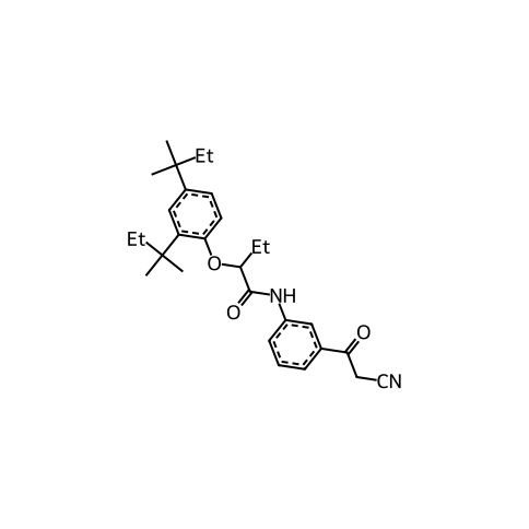 CCC(Oc1ccc(C(C)(C)CC)cc1C(C)(C)CC)C(=O)Nc1cccc(C(=O)CC#N)c1